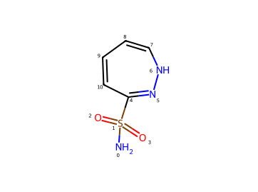 NS(=O)(=O)C1=NNC=CC=C1